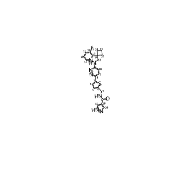 O=C(NCc1ccc(-c2ccc(NCC3(c4ncccc4F)CCC3)nn2)s1)c1cn[nH]c1